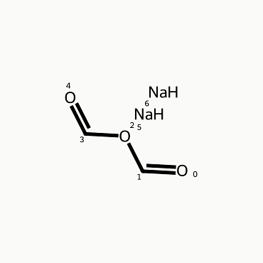 O=COC=O.[NaH].[NaH]